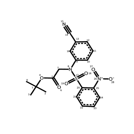 CC(C)(C)OC(=O)CN(c1cccc(C#N)c1)S(=O)(=O)c1ccccc1[N+](=O)[O-]